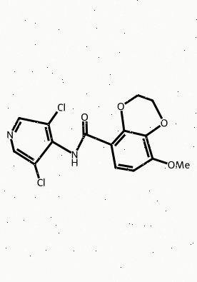 COc1ccc(C(=O)Nc2c(Cl)cncc2Cl)c2c1OCCO2